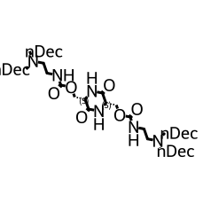 CCCCCCCCCCN(CCCCCCCCCC)CCNC(=O)OC[C@@H]1NC(=O)[C@H](COC(=O)NCCN(CCCCCCCCCC)CCCCCCCCCC)NC1=O